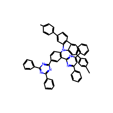 Cc1ccc(-c2ccc3c4ccc(-c5ccc(C)cc5)cc4n(-c4ccc(-c5nc(-c6ccccc6)nc(-c6ccccc6)n5)cc4-c4nc(-c5ccccc5)cc(-c5ccccc5)n4)c3c2)cc1